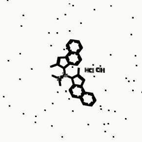 CC1=Cc2c(ccc3ccccc23)[CH]1[Zr]([CH]1C(C)=Cc2c1ccc1ccccc21)=[Si](C)C.Cl.Cl